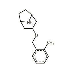 Cc1ccccc1COC1CC2CCC(C1)N2